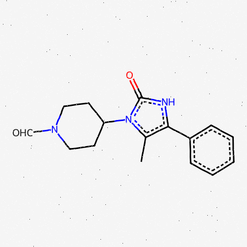 Cc1c(-c2ccccc2)[nH]c(=O)n1C1CCN(C=O)CC1